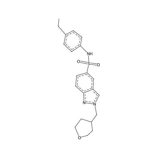 CCc1ccc(NS(=O)(=O)c2ccc3nn(CC4CCOCC4)cc3c2)cc1